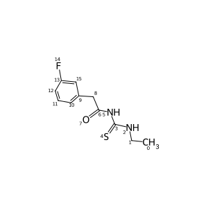 CCNC(=S)NC(=O)Cc1cccc(F)c1